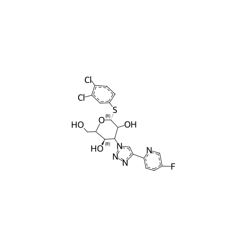 OCC1O[C@H](Sc2ccc(Cl)c(Cl)c2)C(O)C(n2cc(-c3ccc(F)cn3)nn2)[C@H]1O